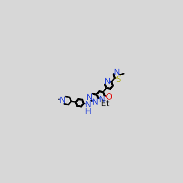 CCn1c(=O)c(-c2ccc(-c3cnc(C)s3)nc2)cc2cnc(Nc3ccc(C4CCN(C)CC4)cc3)nc21